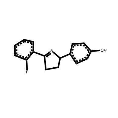 Oc1ccc(C2CCC(c3ccccc3F)=N2)cc1